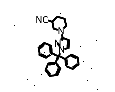 N#CC1CCCN(c2ccn(C(c3ccccc3)(c3ccccc3)c3ccccc3)n2)C1